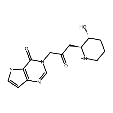 O=C(C[C@@H]1NCCC[C@H]1O)Cn1cnc2ccsc2c1=O